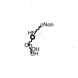 CCCCCCCCCC=CCCCNc1ccc(CCC(=O)OCC(O)CO)cc1